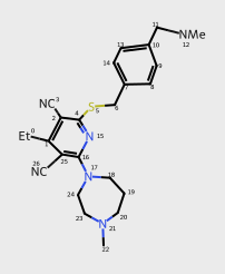 CCc1c(C#N)c(SCc2ccc(CNC)cc2)nc(N2CCCN(C)CC2)c1C#N